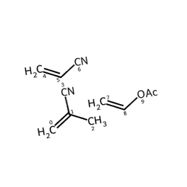 C=C(C)C#N.C=CC#N.C=COC(C)=O